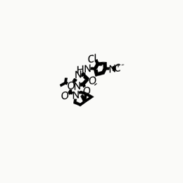 [C-]#[N+]c1ccc(Nc2ncnc(OCC34CCN(C(=O)OC(C)C)CC3C4)c2OC)c(Cl)c1